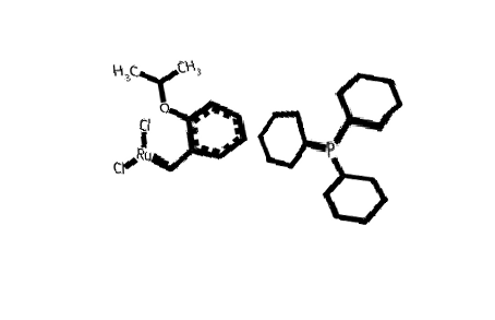 C1CCC(P(C2CCCCC2)C2CCCCC2)CC1.CC(C)Oc1ccccc1[CH]=[Ru]([Cl])[Cl]